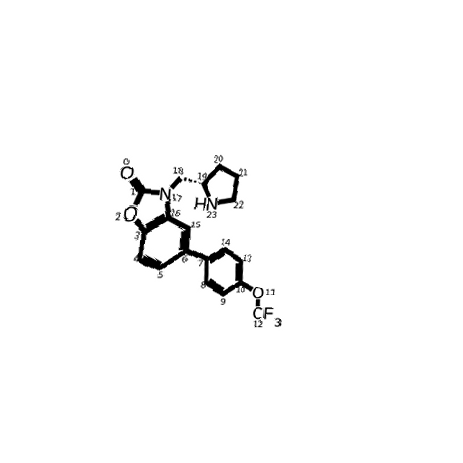 O=c1oc2ccc(-c3ccc(OC(F)(F)F)cc3)cc2n1C[C@@H]1CCCN1